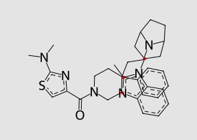 Cc1nc2ccccc2n1C1CC2CCC(C1)N2CCC1(c2ccccc2)CCN(C(=O)c2csc(N(C)C)n2)CC1